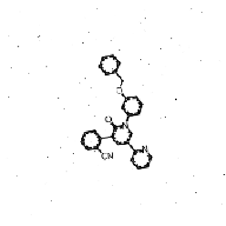 N#Cc1ccccc1-c1cc(-c2ccccn2)cn(-c2cccc(OCc3ccccc3)c2)c1=O